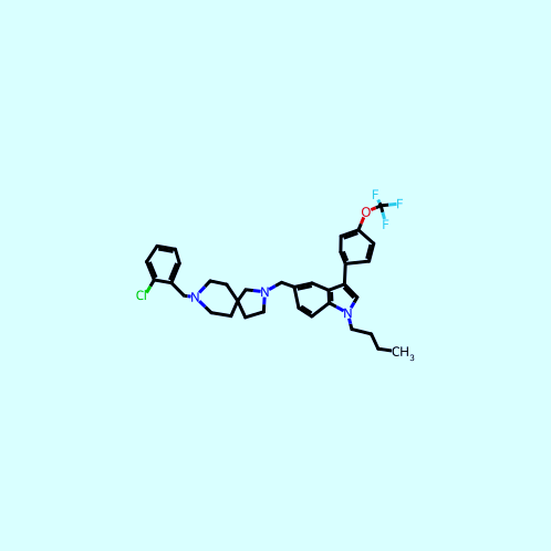 CCCCn1cc(-c2ccc(OC(F)(F)F)cc2)c2cc(CN3CCC4(CCN(Cc5ccccc5Cl)CC4)C3)ccc21